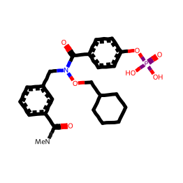 CNC(=O)c1cccc(CN(OCC2CCCCC2)C(=O)c2ccc(OP(=O)(O)O)cc2)c1